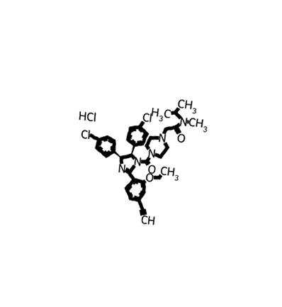 C#Cc1ccc(C2=N[C@@H](c3ccc(Cl)cc3)[C@@H](c3ccc(Cl)cc3)N2C(=O)N2CCN(CC(=O)N(C)C(C)C)CC2)c(OCC)c1.Cl